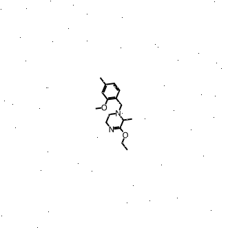 CCOC1=NCCN(Cc2ccc(C)cc2OC)C1C